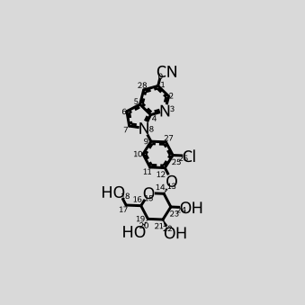 N#Cc1cnc2c(ccn2-c2ccc(O[C@H]3OC(CO)[C@@H](O)[C@H](O)C3O)c(Cl)c2)c1